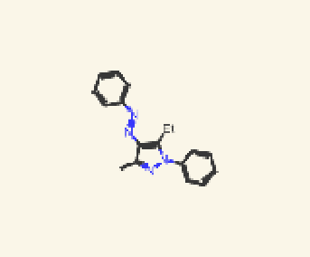 CCc1c(/N=N/c2ccccc2)c(C)nn1-c1ccccc1